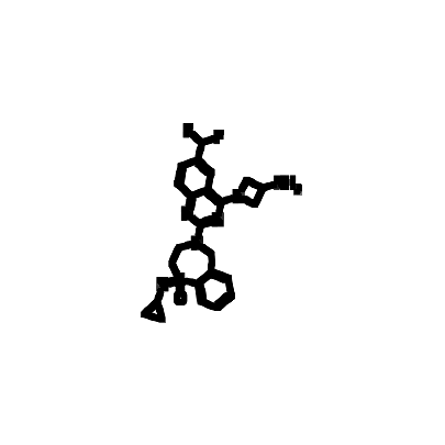 NC1CN(c2nc(N3CCS(=O)(=NC4CC4)c4ccccc4C3)nc3ccc(C(F)F)cc23)C1